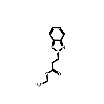 CCOC(=O)CCn1nc2ccccc2n1